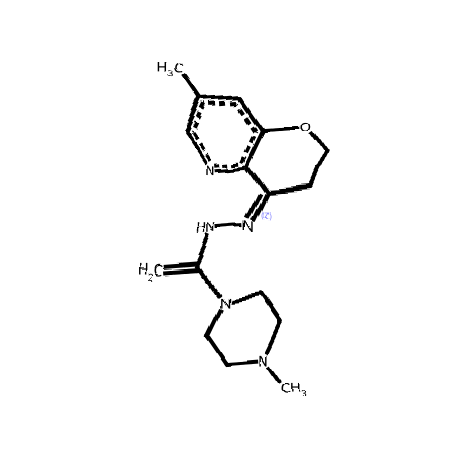 C=C(N/N=C1/CCOc2cc(C)cnc21)N1CCN(C)CC1